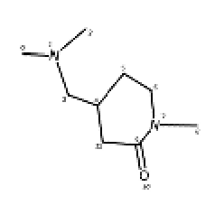 CN(C)CC1CCN(C)C(=O)C1